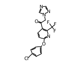 O=C(Cn1cncn1)c1ccc(Oc2ccc(Cl)cc2)nc1C(F)(F)F